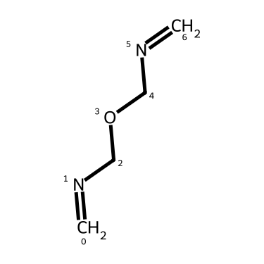 C=NCOCN=C